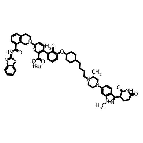 Cc1c(OC2CCC(CCCCN3CCN(c4ccc5c(C6CCC(=O)NC6=O)nn(C)c5c4)C[C@H]3C)CC2)cccc1-c1ccc(N2CCc3cccc(C(=O)Nc4nc5ccccc5s4)c3C2)nc1C(=O)OC(C)(C)C